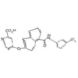 O=C(O)c1cc(Oc2ccc3c(C(=O)Nc4cccc(C(F)(F)F)c4)cccc3c2)ncn1